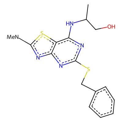 CNc1nc2nc(SCc3ccccc3)nc(NC(C)CO)c2s1